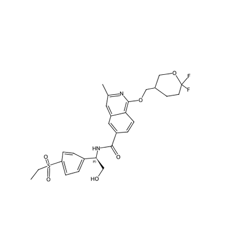 CCS(=O)(=O)c1ccc([C@H](CO)NC(=O)c2ccc3c(OCC4CCC(F)(F)OC4)nc(C)cc3c2)cc1